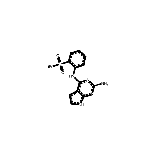 CC(C)S(=O)(=O)c1ccccc1Nc1nc(N)nc2[nH]ccc12